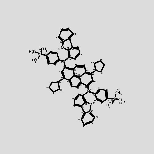 C[Si](C)(C)c1ccc(N(c2cc(C3CCCC3)c3ccc4c(N(c5ccc([Si](C)(C)C)cc5)c5cccc6c5oc5ccccc56)cc(C5CCCC5)c5ccc2c3c54)c2cccc3c2oc2ccccc23)cc1